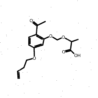 C=CCCOc1ccc(C(C)=O)c(OCOC(C)C(=O)O)c1